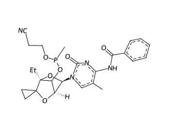 CC[C@@]12O[C@@H](n3cc(C)c(NC(=O)c4ccccc4)nc3=O)[C@@H](OC13CC3)C2OP(C)OCCC#N